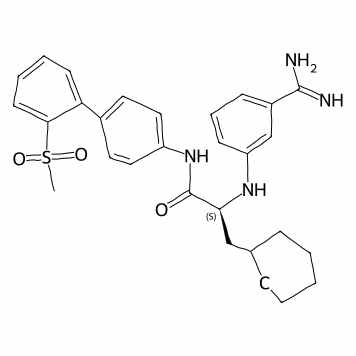 CS(=O)(=O)c1ccccc1-c1ccc(NC(=O)[C@H](CC2CCCCC2)Nc2cccc(C(=N)N)c2)cc1